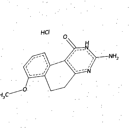 COc1cccc2c1CCc1nc(N)[nH]c(=O)c1-2.Cl